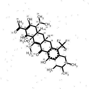 CCC(C)N(C)Cc1cc(O)c2c(c1C(F)(F)F)C[C@H]1C[C@H]3[C@H](N(C)C)C(O)=C(C(N)=O)C(=N)[C@@]3(OC)C(OC)=C1C2=O